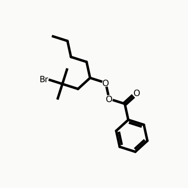 CCCCC(CC(C)(C)Br)OOC(=O)c1ccccc1